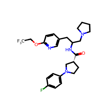 O=C(NC(Cc1ccc(OCC(F)(F)F)nc1)CN1CCCC1)[C@@H]1CCN(c2ccc(F)cc2)C1